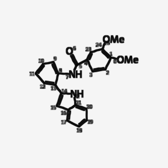 COc1ccc(C(=O)Nc2ccccc2-c2cc3ccccc3[nH]2)cc1OC